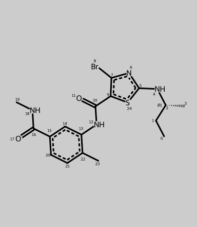 CC[C@@H](C)Nc1nc(Br)c(C(=O)Nc2cc(C(=O)NC)ccc2C)s1